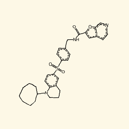 O=C(NCc1ccc(S(=O)(=O)c2ccc3c(c2)CCCN3C2CCCCCCC2)cc1)c1cc2ccncc2o1